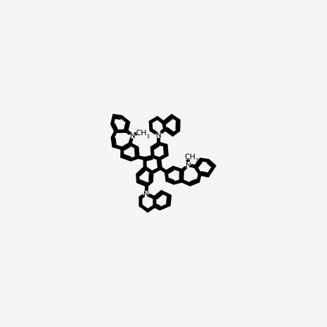 CN1c2ccccc2C=Cc2ccc(-c3c4ccc(N5CCCc6ccccc65)cc4c(-c4ccc5c(c4)N(C)c4ccccc4C=C5)c4ccc(N5CCCc6ccccc65)cc34)cc21